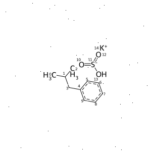 CC(C)Cc1ccccc1.O=[S-](=O)O.[K+]